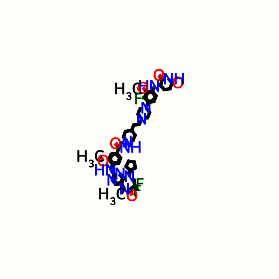 COc1cc(C(=O)NN2CCC(CCN3CCN(c4ccc(NC5CCC(=O)NC5=O)c(OC)c4F)CC3)CC2)ccc1Nc1ncc2c(n1)N(C1CCCC1)CC(F)(F)C(=O)N2C